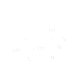 [N+3].[N-]=S(=O)=O.[N-]=S(=O)=O.[N-]=S(=O)=O